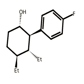 CC[C@H]1CC[C@H](O)[C@@H](c2ccc(F)cc2)[C@@H]1CC